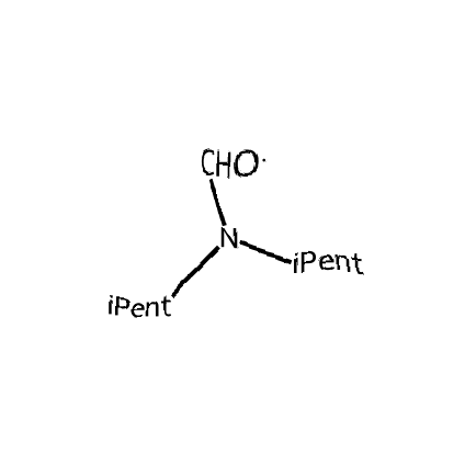 CCCC(C)N([C]=O)C(C)CCC